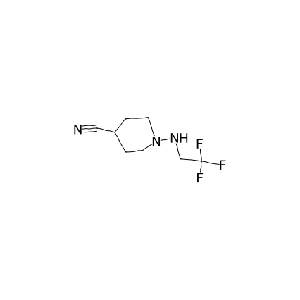 N#CC1CCN(NCC(F)(F)F)CC1